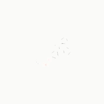 CCC(=C(c1ccccc1)c1ccc(OCC(O)CN(C)C)cc1)c1ccccc1